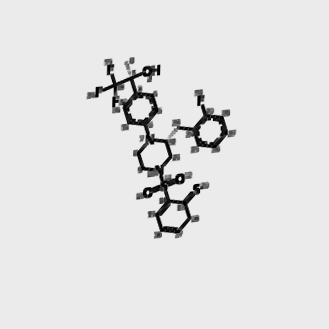 C[C@](O)(c1ccc(N2CCN(S(=O)(=O)C3=CC=CCC3=S)C[C@H]2Cc2ccccc2F)cc1)C(F)(F)F